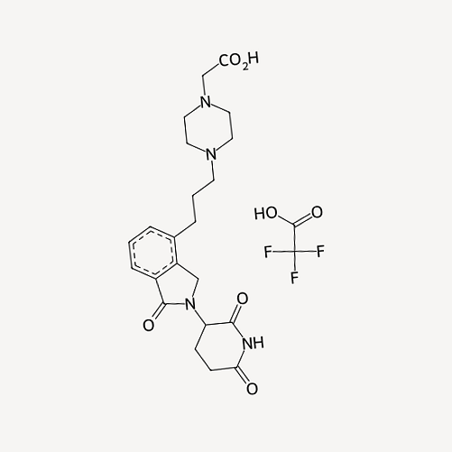 O=C(O)C(F)(F)F.O=C(O)CN1CCN(CCCc2cccc3c2CN(C2CCC(=O)NC2=O)C3=O)CC1